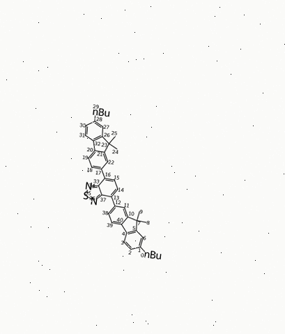 CCCCc1ccc2c(c1)C(C)(C)c1cc(-c3ccc(-c4ccc5c(c4)C(C)(C)c4cc(CCCC)ccc4-5)c4nsnc34)ccc1-2